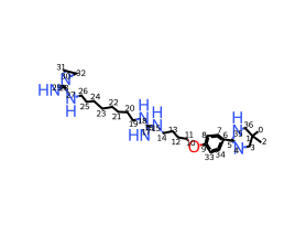 CC1(C)CN=C(c2ccc(OCCCCNC(=N)NCCCCCCCCNC(=N)N3CC3)cc2)NC1